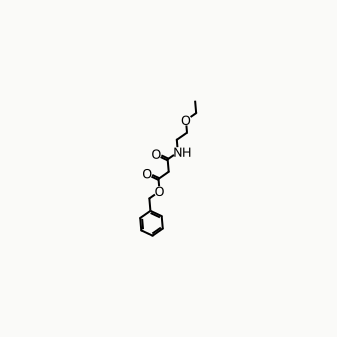 CCOCCNC(=O)CC(=O)OCc1ccccc1